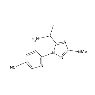 CNc1nc(C(C)N)n(-c2ccc(C#N)cn2)n1